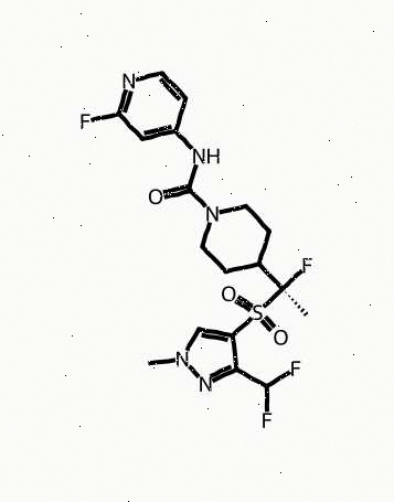 Cn1cc(S(=O)(=O)[C@](C)(F)C2CCN(C(=O)Nc3ccnc(F)c3)CC2)c(C(F)F)n1